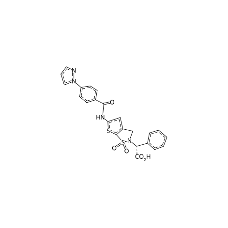 O=C(Nc1cc2c(s1)S(=O)(=O)N([C@@H](C(=O)O)c1ccccc1)C2)c1ccc(-n2cccn2)cc1